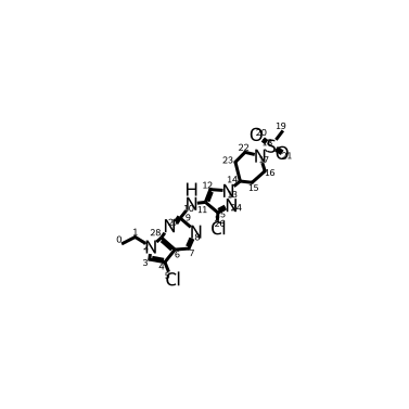 CCn1cc(Cl)c2cnc(Nc3cn(C4CCN(S(C)(=O)=O)CC4)nc3Cl)nc21